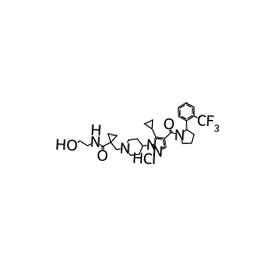 Cl.O=C(c1cnn(C2CCN(CC3(C(=O)NCCO)CC3)CC2)c1C1CC1)N1CCCC1c1ccccc1C(F)(F)F